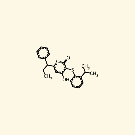 CCC(c1ccccc1)c1cc(O)c(Sc2ccccc2C(C)C)c(=O)o1